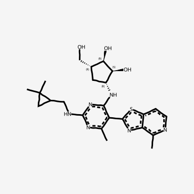 Cc1nc(NCC2CC2(C)C)nc(N[C@@H]2C[C@H](CO)[C@@H](O)[C@H]2O)c1-c1nc2c(C)nccc2s1